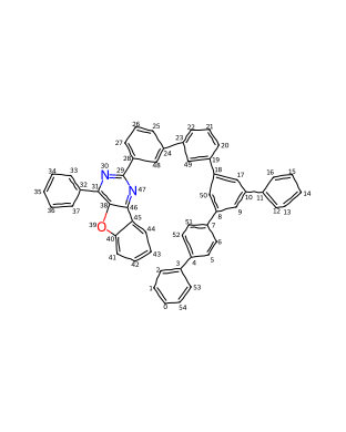 c1ccc(-c2ccc(-c3cc(-c4ccccc4)cc(-c4cccc(-c5cccc(-c6nc(-c7ccccc7)c7oc8ccccc8c7n6)c5)c4)c3)cc2)cc1